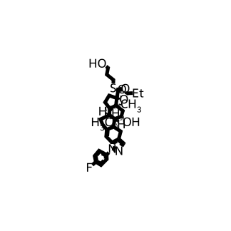 CCC(=O)O[C@]1(C(=O)SCCCO)CC[C@H]2[C@@H]3CCC4=Cc5c(cnn5-c5ccc(F)cc5)C[C@]4(C)[C@H]3[C@@H](O)C[C@@]21C